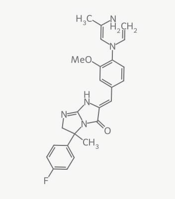 C=CN(/C=C(/C)N)c1ccc(/C=c2\[nH]c3n(c2=O)C(C)(c2ccc(F)cc2)CN=3)cc1OC